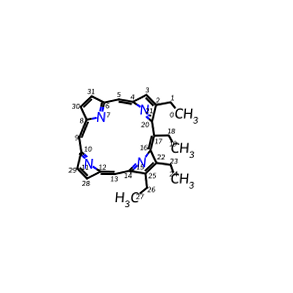 CCC1=CC2=CC3=NC(=CC4=NC(=CC5=NC(=C(CC)C1=N2)C(CC)=C5CC)C=C4)C=C3